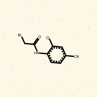 N#Cc1ccc(NC(=O)CBr)c(Cl)c1